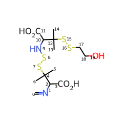 C=NC(C(=O)O)C(C)(C)SSNC(C(=O)O)C(C)(C)SSCCO